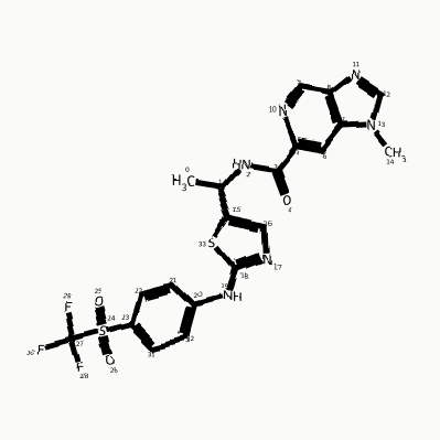 CC(NC(=O)c1cc2c(cn1)ncn2C)c1cnc(Nc2ccc(S(=O)(=O)C(F)(F)F)cc2)s1